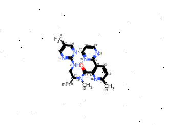 CCC[C@@H](CNc1ncc(C(F)(F)F)cn1)N(C)C(=O)c1nc(C)ccc1-c1ncccn1